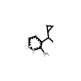 CC(c1ccnnc1N)C1CC1